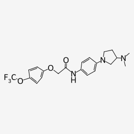 CN(C)C1CCN(c2ccc(NC(=O)COc3ccc(OC(F)(F)F)cc3)cc2)C1